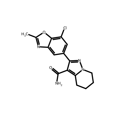 Cc1nc2cc(-c3nn4c(c3C(N)=O)CCCC4)cc(Cl)c2o1